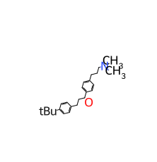 CN(C)CCCc1ccc(C(=O)CCc2ccc(C(C)(C)C)cc2)cc1